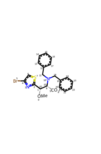 CO[C@H](c1nc(Br)cs1)[C@@H](C(=O)O)N(Cc1ccccc1)Cc1ccccc1